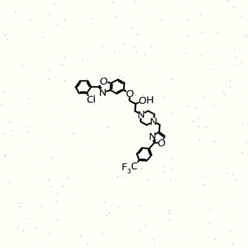 OC(COc1ccc2oc(-c3ccccc3Cl)nc2c1)CN1CCN(Cc2coc(-c3ccc(C(F)(F)F)cc3)n2)CC1